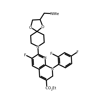 CCOC(=O)C1=Cc2cc(F)c(N3CCC4(CC3)OCC(CNC)O4)nc2N(c2ccc(F)cc2F)C1